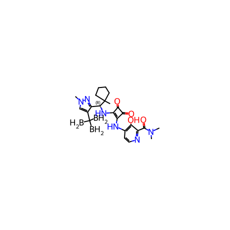 BC(B)(B)c1cn(C)nc1[C@H](Nc1c(Nc2ccnc(C(=O)N(C)C)c2O)c(=O)c1=O)C1(C)CCCC1